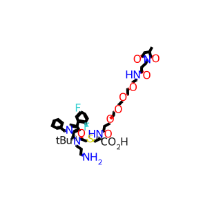 CC1CC(=O)N(CCC(=O)NCCOCCOCCOCCOCCC(=O)N[C@@H](CSCC(=O)N(CCCN)[C@@H](c2cc(-c3cc(F)ccc3F)cn2Cc2ccccc2)C(C)(C)C)C(=O)O)C1=O